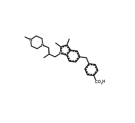 Cc1c(C)n(CC(C)CN2CCN(C)CC2)c2ccc(Cc3ccc(C(=O)O)cc3)cc12